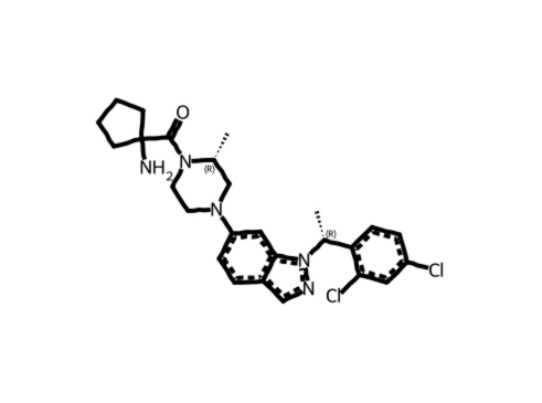 C[C@@H]1CN(c2ccc3cnn([C@H](C)c4ccc(Cl)cc4Cl)c3c2)CCN1C(=O)C1(N)CCCC1